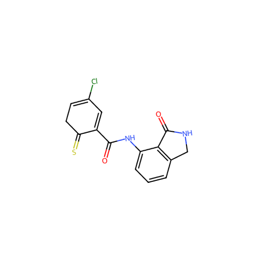 O=C(Nc1cccc2c1C(=O)NC2)C1=CC(Cl)=CCC1=S